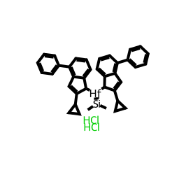 C[Si](C)=[Hf]([CH]1C(C2CC2)=Cc2c(-c3ccccc3)cccc21)[CH]1C(C2CC2)=Cc2c(-c3ccccc3)cccc21.Cl.Cl